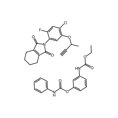 C#CC(C)Oc1cc(N2C(=O)C3=C(CCCC3)C2=O)c(F)cc1Cl.CCOC(=O)Nc1cccc(OC(=O)Nc2ccccc2)c1